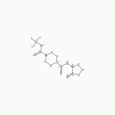 CC(C)(C)OC(=O)N1CCC(C(=O)ON2CCCC2=O)CC1